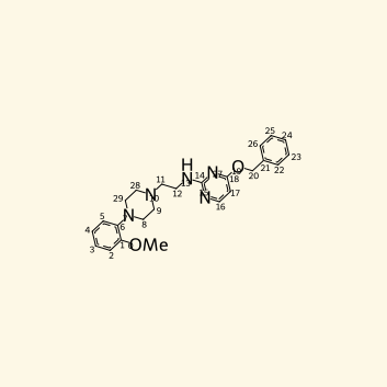 COc1ccccc1N1CCN(CCNc2nccc(OCc3ccccc3)n2)CC1